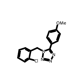 COc1ccc(-c2nnnn2Cc2ccccc2Cl)cc1